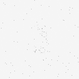 Cc1cc(NCCc2cc(C(=N)N)ccc2O)ccc1C(=O)N1CCCC1.Cl